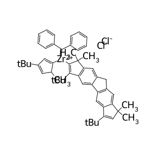 CC1C=C(C(C)(C)C)C=[C]1[Zr+2]([C]1=C(C(C)(C)C)c2cc3c(cc2C1(C)C)Cc1cc2c(cc1-3)C(C(C)(C)C)=CC2(C)C)=[C](c1ccccc1)c1ccccc1.[Cl-].[Cl-]